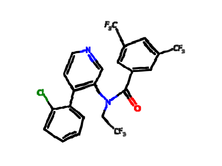 O=C(c1cc(C(F)(F)F)cc(C(F)(F)F)c1)N(CC(F)(F)F)c1cnccc1-c1ccccc1Cl